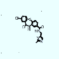 Cc1ncc(CNC(=O)c2ccc3c(c2)NC(=O)c2cc(Cl)ccc2S3)s1